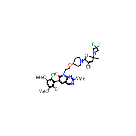 CNc1ncc2cc(-c3c(Cl)c(OC)cc(OC)c3Cl)c(=O)n(CCOC3CCN(C(=O)/C(C#N)=C\C(C)(C)N4CC(F)(F)C4)CC3)c2n1